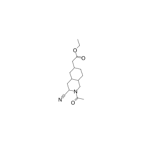 CCOC(=O)CC1CCC2CN(C(C)=O)C(C#N)CC2C1